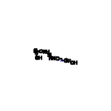 OCC[n+]1ccc(/C=C/c2ccc(NCCSSCCNc3ccc(C4=CC5=CC[N+]4(CCO)C=C5)cc3)cc2)cc1